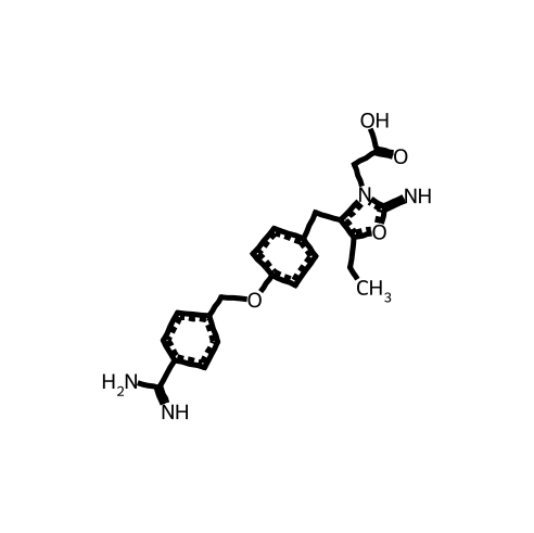 CCc1oc(=N)n(CC(=O)O)c1Cc1ccc(OCc2ccc(C(=N)N)cc2)cc1